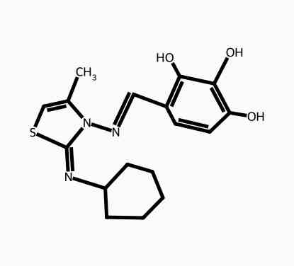 Cc1cs/c(=N/C2CCCCC2)n1N=Cc1ccc(O)c(O)c1O